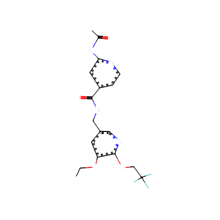 CCOc1cc(CNC(=O)c2ccnc(NC(C)=O)c2)cnc1OCC(F)(F)F